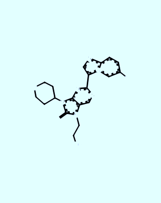 O=c1n(CCO)c2cnc(-c3cnc4ccc(F)cn34)nc2n1C1CCOCC1